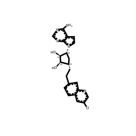 Nc1ncnc2c1ccn2[C@@H]1C[C@H](CCc2ccc3cc(Cl)cnc3c2)[C@@H](O)[C@H]1O